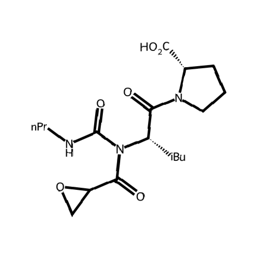 CCCNC(=O)N(C(=O)C1CO1)[C@H](C(=O)N1CCC[C@H]1C(=O)O)C(C)CC